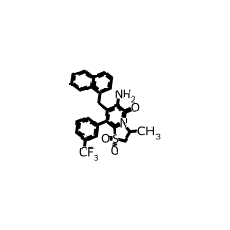 CC1CS(=O)(=O)c2c(-c3cccc(C(F)(F)F)c3)c(Cc3cccc4ccccc34)c(N)c(=O)n21